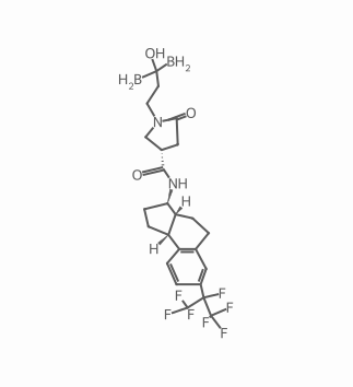 BC(B)(O)CCN1C[C@@H](C(=O)N[C@@H]2CC[C@H]3c4ccc(C(F)(C(F)(F)F)C(F)(F)F)cc4CC[C@@H]23)CC1=O